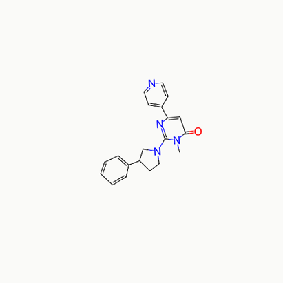 Cn1c(N2CCC(c3ccccc3)C2)nc(-c2ccncc2)cc1=O